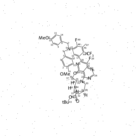 COc1ccc(CN(Cc2ccc(OC)cc2)c2cc(-c3nc4c5c(ncnc5c3F)N3C[C@H]5CC[C@@H]([C@H]3[C@H](C)O4)N5C(=O)OC(C)(C)C)c(C(F)(F)F)c(C)c2F)cc1